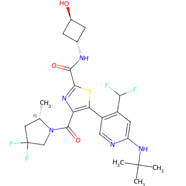 C[C@H]1CC(F)(F)CN1C(=O)c1nc(C(=O)N[C@H]2C[C@H](O)C2)sc1-c1cnc(NC(C)(C)C)cc1C(F)F